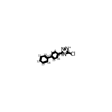 ClC1=[N+]=NC(c2ccc(-c3ccccc3)cc2)N1